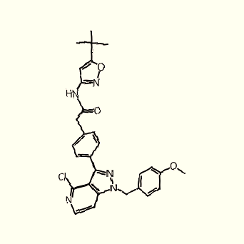 COc1ccc(Cn2nc(-c3ccc(CC(=O)Nc4cc(C(C)(C)C)on4)cc3)c3c(Cl)nccc32)cc1